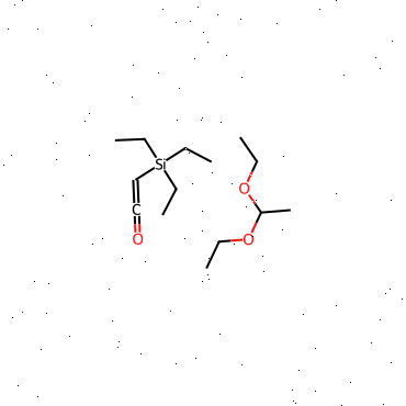 CCOC(C)OCC.CC[Si](C=C=O)(CC)CC